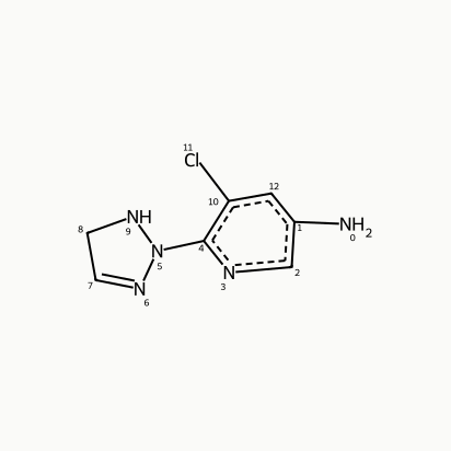 Nc1cnc(N2N=CCN2)c(Cl)c1